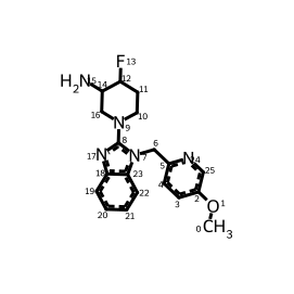 COc1ccc(Cn2c(N3CCC(F)C(N)C3)nc3ccccc32)nc1